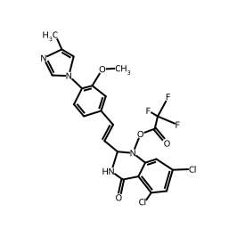 COc1cc(C=CC2NC(=O)c3c(Cl)cc(Cl)cc3N2OC(=O)C(F)(F)F)ccc1-n1cnc(C)c1